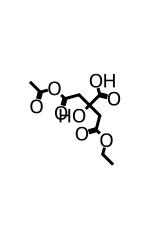 CCOC(=O)CC(O)(CC(=O)OC(C)=O)C(=O)O